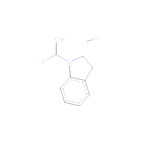 O=CC(Cl)N1c2ccccc2C[C@H]1CF